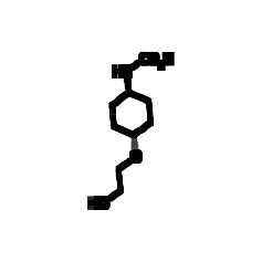 O=C(O)N[C@H]1CC[C@H](OCCO)CC1